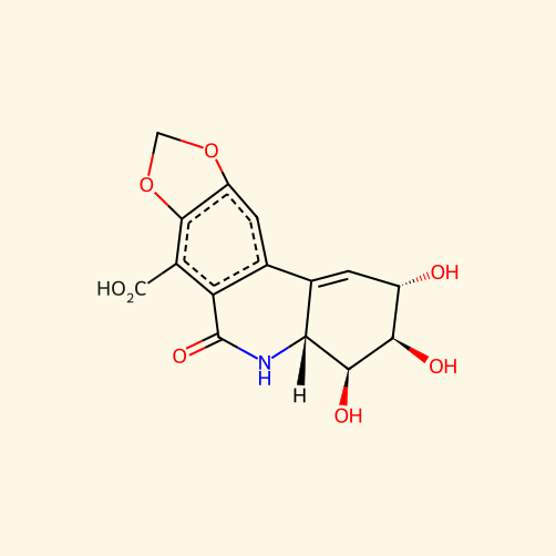 O=C1N[C@@H]2C(=C[C@H](O)[C@@H](O)[C@H]2O)c2cc3c(c(C(=O)O)c21)OCO3